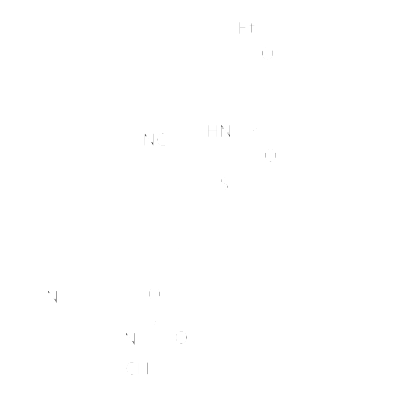 CCOc1ccccc1CCC(=O)Nc1sc2c(c1C#N)CCC(COC(=O)N(C)c1ccncc1)C2